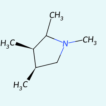 CC1[C@H](C)[C@H](C)CN1C